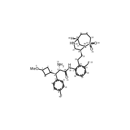 COC1CC([C@H](c2ccc(F)cc2)[C@H](N)C(=O)Nc2cccc(F)c2CC[C@H]2CN[C@@H]3CCCS(=O)(=O)N2C3)C1